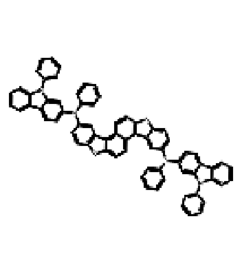 c1ccc(N(c2ccc3sc4ccc5c(ccc6sc7ccc(N(c8ccccc8)c8ccc9c%10ccccc%10n(-c%10ccccc%10)c9c8)cc7c65)c4c3c2)c2ccc3c4ccccc4n(-c4ccccc4)c3c2)cc1